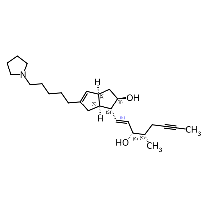 CC#CC[C@H](C)[C@H](O)/C=C/[C@@H]1[C@H]2CC(CCCCCN3CCCC3)=C[C@H]2C[C@H]1O